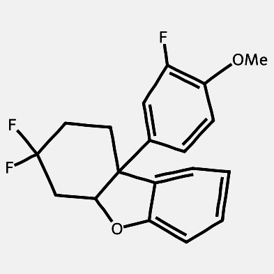 COc1ccc(C23CCC(F)(F)CC2Oc2ccccc23)cc1F